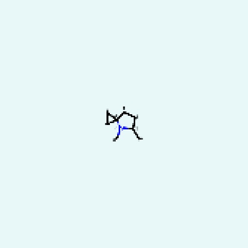 CC1CCC2(CC2)N1C